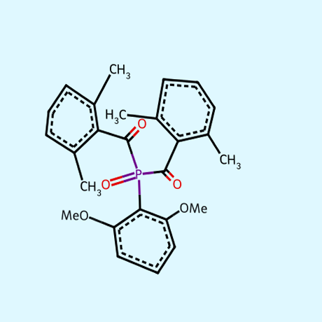 COc1cccc(OC)c1P(=O)(C(=O)c1c(C)cccc1C)C(=O)c1c(C)cccc1C